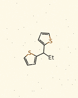 [CH2]CC(c1cccs1)c1cccs1